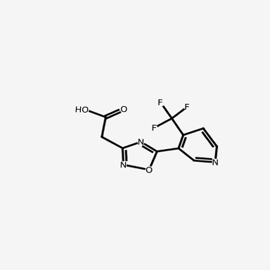 O=C(O)Cc1noc(-c2cnccc2C(F)(F)F)n1